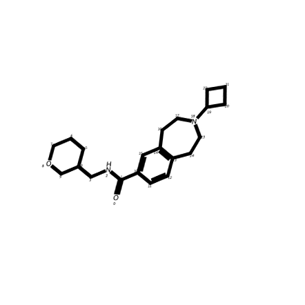 O=C(NCC1CCCOC1)c1ccc2c(c1)CCN(C1CCC1)CC2